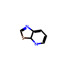 C1=C[N]C2SC=NC2=C1